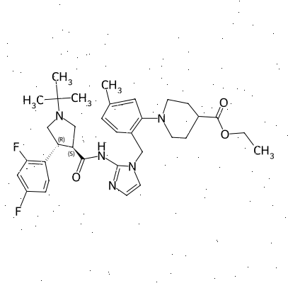 CCOC(=O)C1CCN(c2cc(C)ccc2Cn2ccnc2NC(=O)[C@@H]2CN(C(C)(C)C)C[C@H]2c2ccc(F)cc2F)CC1